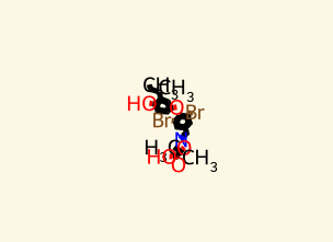 CCC(C)c1cc(Oc2c(Br)cc(C=NOC(C)(C)C(=O)O)cc2Br)ccc1O